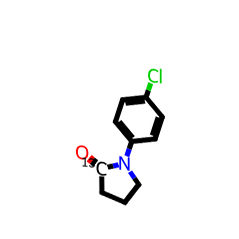 O=[13C]1CCCN1c1ccc(Cl)cc1